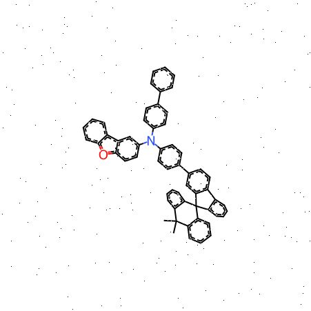 CC1(C)c2ccccc2C2(c3ccccc3-c3ccc(-c4ccc(N(c5ccc(-c6ccccc6)cc5)c5ccc6oc7ccccc7c6c5)cc4)cc32)c2ccccc21